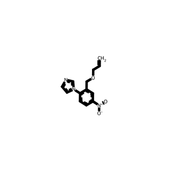 C=CCOCc1cc([N+](=O)[O-])ccc1-n1ccnc1